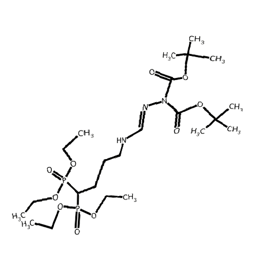 CCOP(=O)(OCC)C(CCCNC=NN(C(=O)OC(C)(C)C)C(=O)OC(C)(C)C)P(=O)(OCC)OCC